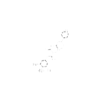 CNc1c(Br)cc(CC(=O)C(CN2CCC(c3ccncc3)CC2)C(=O)O)cc1Br